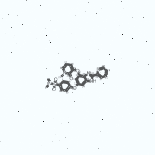 CN(C)S(=O)(=O)c1ccc(Oc2cc(Oc3cccn(C)c3=O)c3nc(-c4ccccn4)[nH]c3c2)cc1